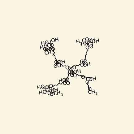 COCCCOCC(CO)COCCCOP(=O)(O)OCC(COCCCOP(=O)(O)OCCCCCCO[C@@H]1OC[C@H](O)[C@H](O)C1NC(C)=O)(COCCCOP(=O)(O)OCCCCCCO[C@@H]1OC(CO)[C@H](O)C(O)[C@@H]1NC(C)=O)COCCCOP(=O)(O)OCCCCCCO[C@@H]1OC(CO)[C@H](O)C(O)[C@@H]1NC(C)=O